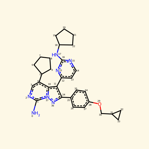 Nc1ncc(C2CCCC2)c2c(-c3ccnc(NC4CCCC4)n3)c(-c3ccc(OCC4CC4)cc3)nn12